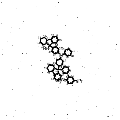 CC(C)c1ccc(N)c(-c2cccc(C3(C4C=CC(N(c5ccccc5)c5ccc(C6(C(C)(C)C)C7=C(CCC=C7)c7ccccc76)cc5)=CC4)C4=C(CCC=C4)c4ccccc43)c2)c1